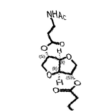 CC(=O)NCCC(=O)O[C@H]1CO[C@H]2[C@@H]1OC[C@@H]2OC(=O)CCNC(C)=O